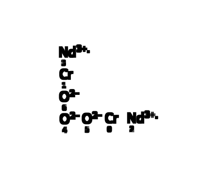 [Cr].[Cr].[Nd+3].[Nd+3].[O-2].[O-2].[O-2]